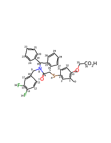 Cc1cc(SCC(=O)N(Cc2ccc(F)c(F)c2)C(c2ccccc2)c2ccccc2)ccc1OCC(=O)O